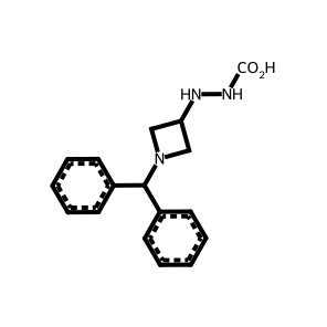 O=C(O)NNC1CN(C(c2ccccc2)c2ccccc2)C1